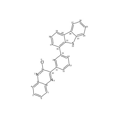 Clc1nc2ccccc2nc1-c1cccc(-c2cccc3c2sc2ccccc23)c1